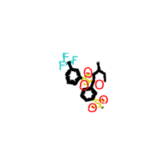 CC1CCOC(c2cccc(S(C)(=O)=O)c2)(S(=O)(=O)c2cccc(C(F)(F)F)c2)C1